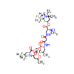 CNC(CNC(=O)CC(=O)NC(CC(C)C)C(=O)OCOC(=O)C(CC(C)C)NC(=O)CC(C)=O)C(=O)OC1CC(C)(C)N(C)C(C)(C)C1